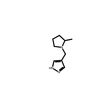 CC1CCCN1Cc1cn[nH]c1